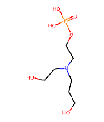 O=P(O)(O)OCCN(CCO)CCCO